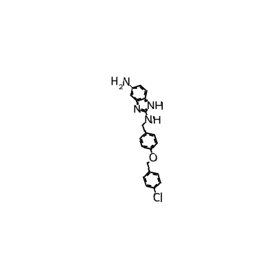 Nc1ccc2[nH]c(NCc3ccc(OCc4ccc(Cl)cc4)cc3)nc2c1